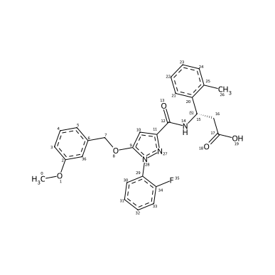 COc1cccc(COc2cc(C(=O)N[C@@H](CC(=O)O)c3ccccc3C)nn2-c2ccccc2F)c1